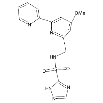 COc1cc(CNS(=O)(=O)c2ncn[nH]2)nc(-c2ccccn2)c1